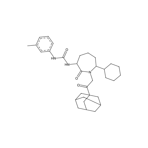 Cc1cccc(NC(=O)NC2CCCC(C3CCCCC3)N(CC(=O)C34CC5CC(CC(C5)C3)C4)C2=O)c1